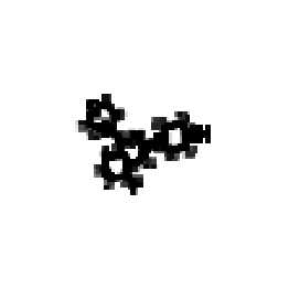 Fc1cccc2c(N3CCSCC3)nc(N3CCNCC3)cc12